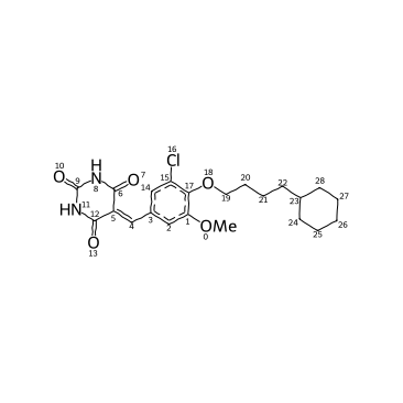 COc1cc(C=C2C(=O)NC(=O)NC2=O)cc(Cl)c1OCCCCC1CCCCC1